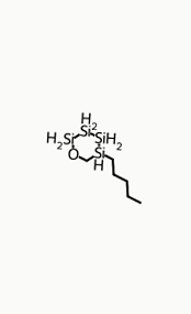 CCCCC[SiH]1CO[SiH2][SiH2][SiH2]1